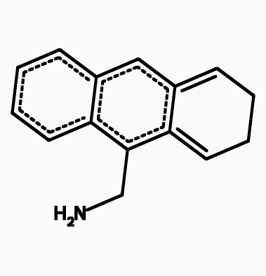 NCc1c2c(cc3ccccc13)=CCCC=2